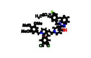 COc1cc(CN2CCC(CCN3CCC(O)(c4nc5ccccc5n4Cc4ccc(F)cc4)CC3)(Cc3ccc(Cl)c(Cl)c3)C2=O)cc(OC)c1OC.CS(=O)(=O)O